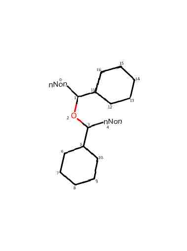 CCCCCCCCCC(OC(CCCCCCCCC)C1CCCCC1)C1CCCCC1